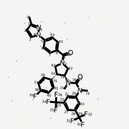 Cc1ccn(-c2ccc(C(=O)N3C[C@@H](N(C)C(=O)N(C)c4cc(C(F)(F)F)cc(C(F)(F)F)c4)[C@H](c4ccc(F)cc4)C3)cc2)n1